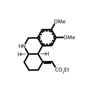 CCOC(=O)C=C1CCC[C@H]2NCc3cc(OC)c(OC)cc3[C@@H]12